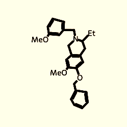 CCC1Cc2cc(OCc3ccccc3)c(OC)cc2CN1Cc1cccc(OC)c1